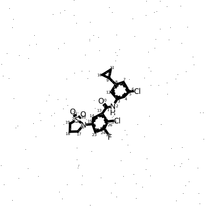 O=C(Nc1cc(Cl)cc(C2CC2)c1)c1cc(N2CCCS2(=O)=O)cc(F)c1Cl